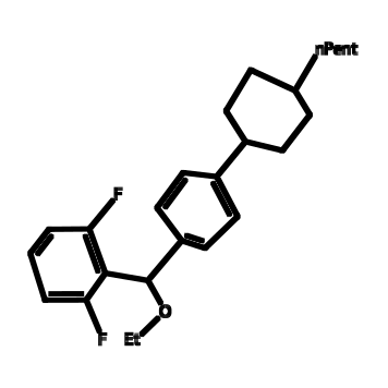 CCCCCC1CCC(c2ccc(C(OCC)c3c(F)cccc3F)cc2)CC1